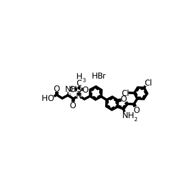 Br.CS(=O)(=O)N(Cc1cccc(-c2ccc3c(N)c(C(=O)c4ccc(Cl)cc4Cl)oc3c2)c1)C(=O)[C@@H](N)CC(=O)O